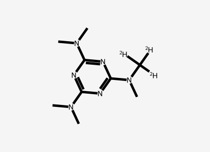 [2H]C([2H])([2H])N(C)c1nc(N(C)C)nc(N(C)C)n1